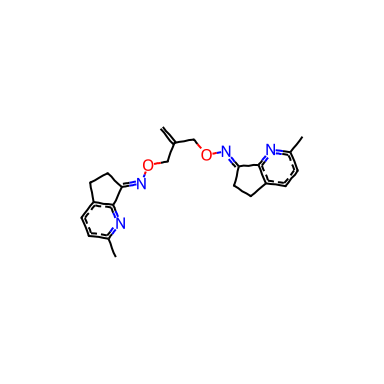 C=C(CO/N=C1\CCc2ccc(C)nc21)CO/N=C1\CCc2ccc(C)nc21